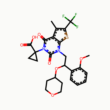 COc1ccccc1C(Cn1c(=O)n(C2(C(=O)O)CC2)c(=O)c2c(C)c(C(F)(F)F)sc21)OC1CCOCC1